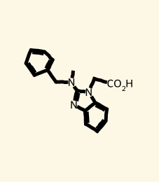 CN(Cc1ccccc1)c1nc2ccccc2n1CC(=O)O